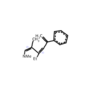 C=C(/C=C(CC)\C(C)=C/NC)c1ccccc1